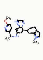 COc1ccc(C(C)Nc2cc(-c3ccc4ccn(C)c4c3)c3nccnc3c2)cn1